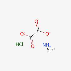 Cl.N.O=C([O-])C(=O)[O-].[Sr+2]